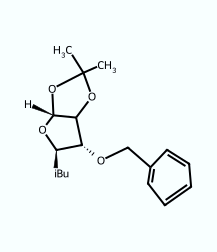 CCC(C)[C@H]1O[C@@H]2OC(C)(C)OC2[C@@H]1OCc1ccccc1